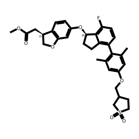 COC(=O)C[C@@H]1COc2cc(O[C@@H]3CCc4c(-c5c(C)cc(OCC6CCS(=O)(=O)C6)cc5C)ccc(F)c43)ccc21